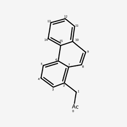 CC(=O)Cc1cccc2c1ccc1ccccc12